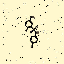 Cc1ccc(N)cc1S(=O)(=O)Nc1ccc(Cl)cc1